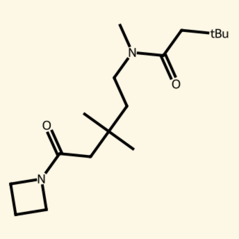 CN(CCC(C)(C)CC(=O)N1CCC1)C(=O)CC(C)(C)C